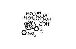 O=[N+]([O-])c1ccccc1C1CC(c2ccccc2[N+](=O)[O-])OP(=O)(OCC2O[C@H](O[C@H]3O[C@H](CO)[C@@H](O)C(O)C3O)[C@@H](O)C(O)[C@@H]2O)O1